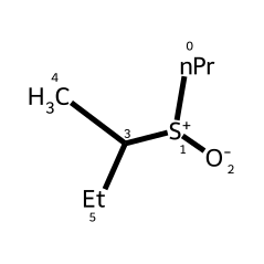 [CH2]CC[S+]([O-])C(C)CC